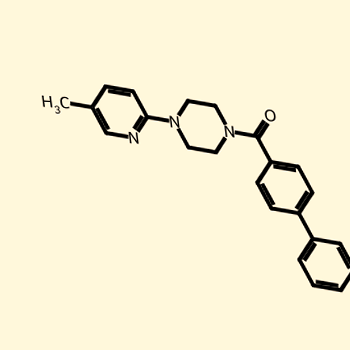 Cc1ccc(N2CCN(C(=O)c3ccc(-c4ccccc4)cc3)CC2)nc1